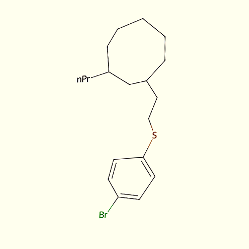 CCCC1CCCCCC(CCSc2ccc(Br)cc2)C1